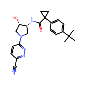 CC(C)(C)c1ccc(C2(C(=O)N[C@@H]3CN(c4ccc(C#N)nn4)C[C@@H]3O)CC2)cc1